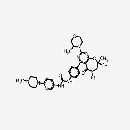 CCN1CC(C)(C)Oc2nc(N3CCOCC3C)nc(-c3ccc(NC(=O)Nc4ccc(N5CCN(C)CC5)nc4)cc3)c2C1=O